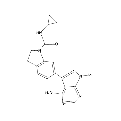 CC(C)n1cc(-c2ccc3c(c2)N(C(=O)NC2CC2)CC3)c2c(N)ncnc21